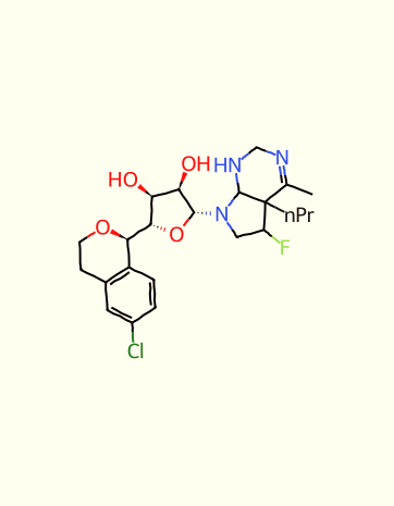 CCCC12C(C)=NCNC1N([C@@H]1O[C@H]([C@@H]3OCCc4cc(Cl)ccc43)[C@@H](O)[C@H]1O)CC2F